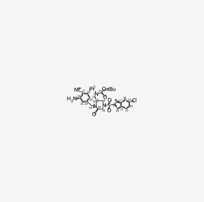 CC(C)N(C[C@H]1CN(S(=O)(=O)c2cc3ccc(Cl)cc3s2)CC(=O)N1Cc1ccc(C#N)c(N)c1)C(=O)OC(C)(C)C